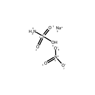 NS(=O)(=O)O.O=[N+]([O-])[O-].[Na+]